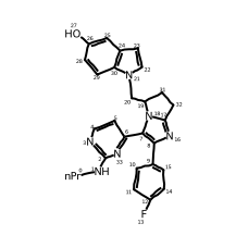 CCCNc1nccc(-c2c(-c3ccc(F)cc3)nc3n2C(Cn2ccc4cc(O)ccc42)CC3)n1